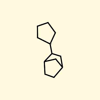 C1CC[C](C2CC3CCC2C3)C1